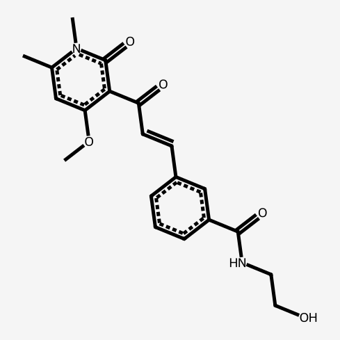 COc1cc(C)n(C)c(=O)c1C(=O)/C=C/c1cccc(C(=O)NCCO)c1